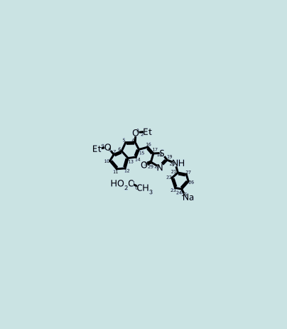 CC(=O)O.CCOc1cc2c(OCC)cccc2cc1C=C1SC(Nc2cc[c]([Na])cc2)=NC1=O